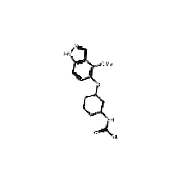 CCC(=O)NC1CCCC(Oc2ccc3[nH]ncc3c2OC)C1